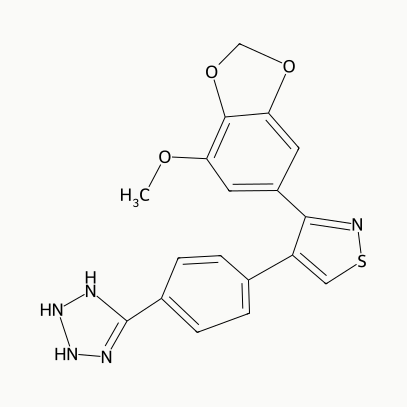 COc1cc(-c2nscc2-c2ccc(C3=NNNN3)cc2)cc2c1OCO2